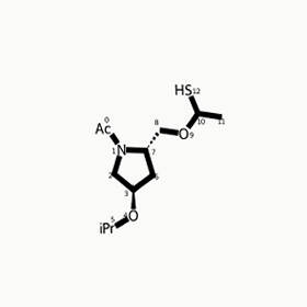 CC(=O)N1C[C@H](OC(C)C)C[C@H]1COC(C)S